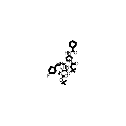 C[C@@H](C(=O)N[C@H](C(=O)N1C[C@@H](NC(=O)c2ccccc2)C[C@H]1CNCCc1ccc(F)cc1)C(C)(C)C)N(C)C(=O)OC(C)(C)C